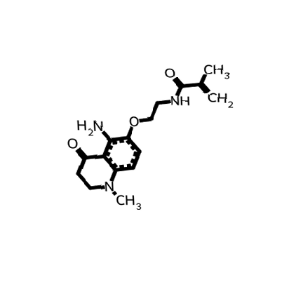 C=C(C)C(=O)NCCOc1ccc2c(c1N)C(=O)CCN2C